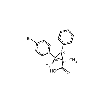 C[C@@]1(C(=O)O)[C@@H](c2ccccc2)[C@@]1(C)c1ccc(Br)cc1